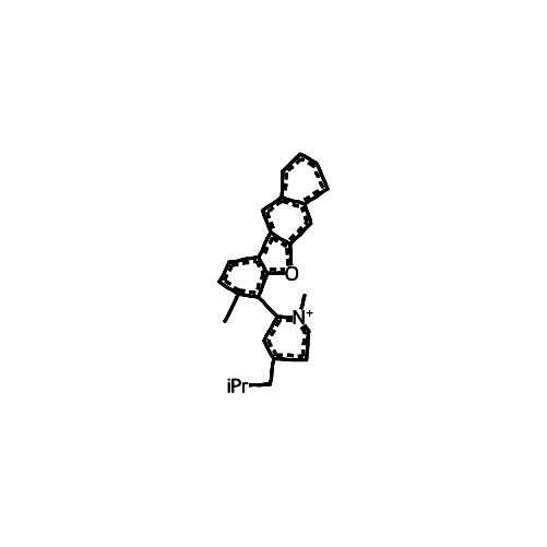 Cc1ccc2c(oc3cc4ccccc4cc32)c1-c1cc(CC(C)C)cc[n+]1C